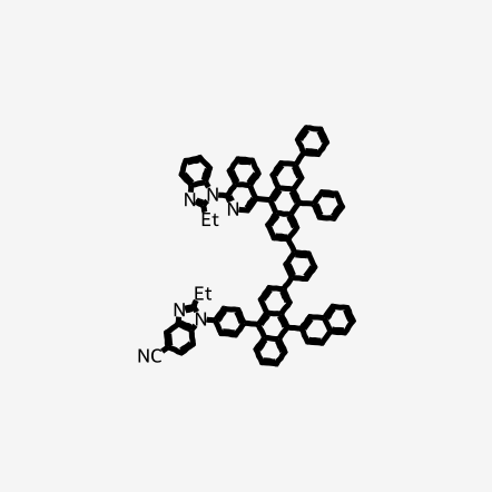 CCc1nc2cc(C#N)ccc2n1-c1ccc(-c2c3ccccc3c(-c3ccc4ccccc4c3)c3cc(-c4cccc(-c5ccc6c(-c7cnc(-n8c(CC)nc9ccccc98)c8ccccc78)c7ccc(-c8ccccc8)cc7c(-c7ccccc7)c6c5)c4)ccc23)cc1